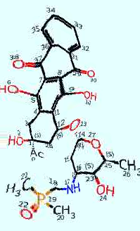 CC(=O)[C@]1(O)Cc2c(O)c3c(c(O)c2[C@@H](O[C@H]2C[C@H](NCP(C)(C)=O)[C@H](O)[C@H](C)O2)C1)C(=O)c1ccccc1C3=O